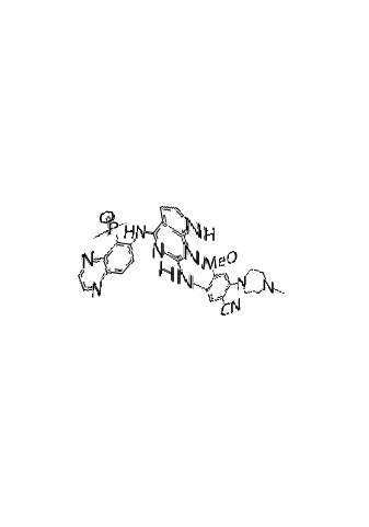 COc1cc(N2CCN(C)CC2)c(C#N)cc1Nc1nc(Nc2ccc3nccnc3c2P(C)(C)=O)c2cc[nH]c2n1